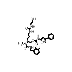 CN(C(=O)NCc1cccc(F)c1Cl)[C@@H](CCCNC(=O)NCCO)COC(=O)Nc1cc(-c2ccccc2)no1